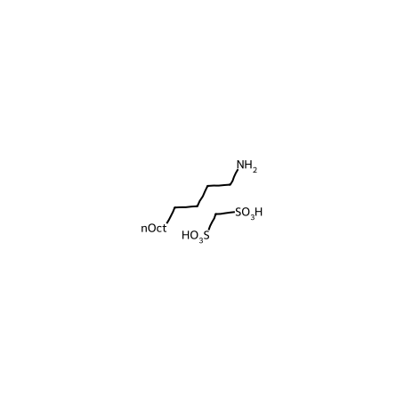 CCCCCCCCCCCCN.O=S(=O)(O)CS(=O)(=O)O